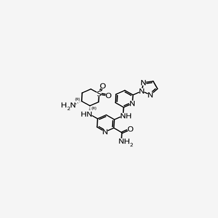 NC(=O)c1ncc(N[C@H]2CS(=O)(=O)CC[C@H]2N)cc1Nc1cccc(-n2nccn2)n1